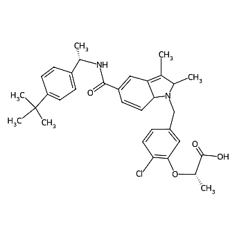 CC1=C2C=C(C(=O)N[C@@H](C)c3ccc(C(C)(C)C)cc3)C=CC2N(Cc2ccc(Cl)c(O[C@@H](C)C(=O)O)c2)C1C